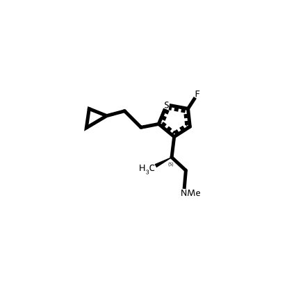 CNC[C@@H](C)c1cc(F)sc1CCC1CC1